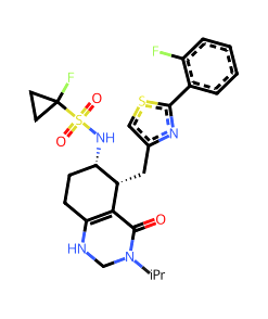 CC(C)N1CNC2=C(C1=O)[C@@H](Cc1csc(-c3ccccc3F)n1)[C@@H](NS(=O)(=O)C1(F)CC1)CC2